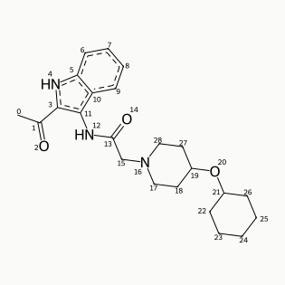 CC(=O)c1[nH]c2ccccc2c1NC(=O)CN1CCC(OC2CCCCC2)CC1